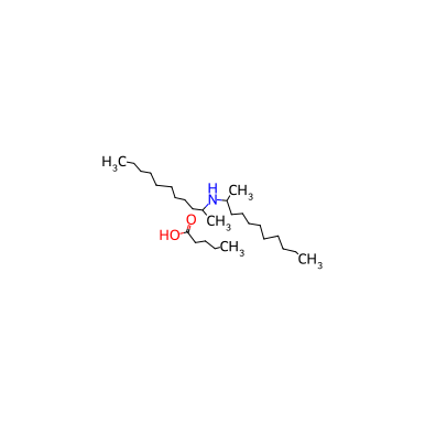 CCCCC(=O)O.CCCCCCCCCC(C)NC(C)CCCCCCCCC